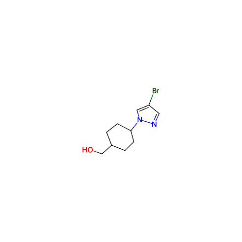 OCC1CCC(n2cc(Br)cn2)CC1